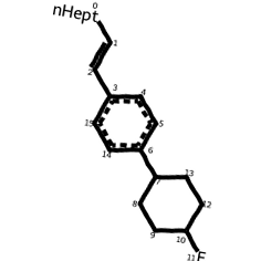 CCCCCCCC=Cc1ccc(C2CCC(F)CC2)cc1